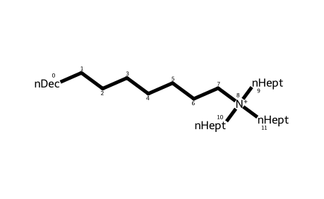 CCCCCCCCCCCCCCCCC[N+](CCCCCCC)(CCCCCCC)CCCCCCC